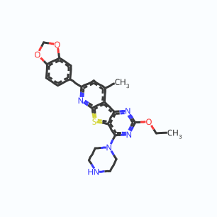 CCOc1nc(N2CCNCC2)c2sc3nc(-c4ccc5c(c4)OCO5)cc(C)c3c2n1